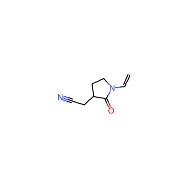 C=CN1CCC(CC#N)C1=O